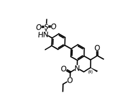 CCOC(=O)N1C[C@H](C)C(C(C)=O)c2ccc(-c3ccc(NS(C)(=O)=O)c(C)c3)cc21